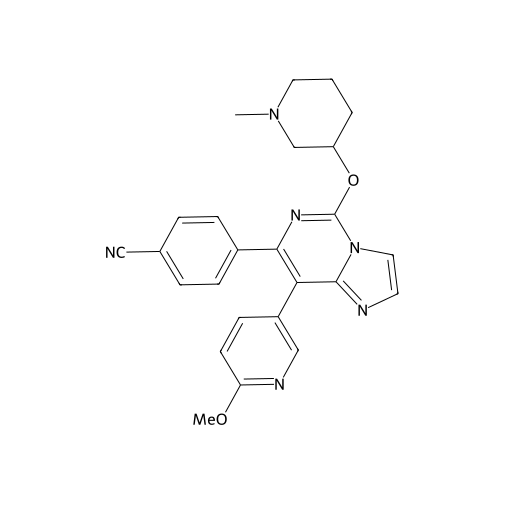 COc1ccc(-c2c(-c3ccc(C#N)cc3)nc(OC3CCCN(C)C3)n3ccnc23)cn1